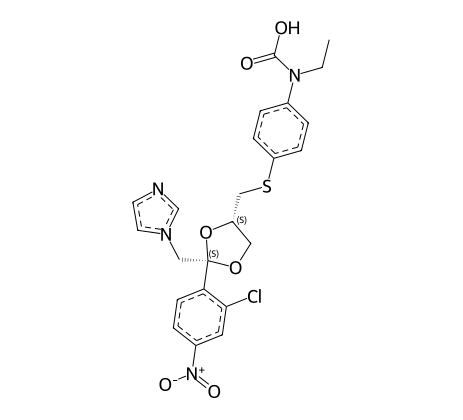 CCN(C(=O)O)c1ccc(SC[C@@H]2CO[C@@](Cn3ccnc3)(c3ccc([N+](=O)[O-])cc3Cl)O2)cc1